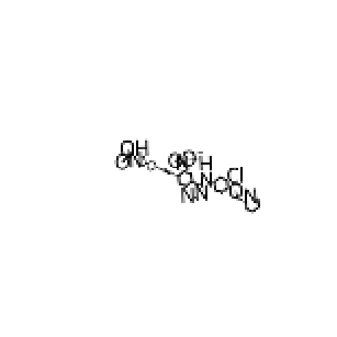 O=C(O)N1CC2(CC(C#Cc3cc4ncnc(Nc5ccc(OCc6ccccn6)c(Cl)c5)c4cc3[N+](=O)[O-])C2)C1